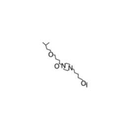 CC(C)CCOCCCC(=O)N1CCN(CCCCCOI)CC1